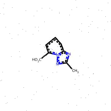 Cc1nc2cccc(C(=O)O)n2n1